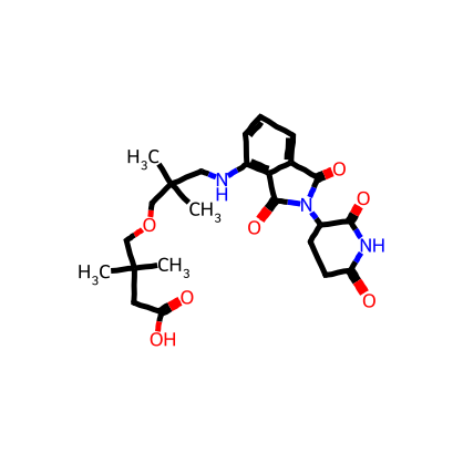 CC(C)(CNc1cccc2c1C(=O)N(C1CCC(=O)NC1=O)C2=O)COCC(C)(C)CC(=O)O